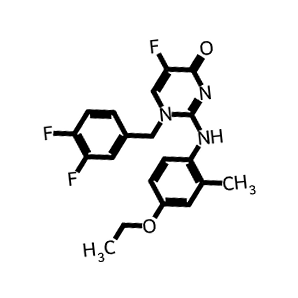 CCOc1ccc(Nc2nc(=O)c(F)cn2Cc2ccc(F)c(F)c2)c(C)c1